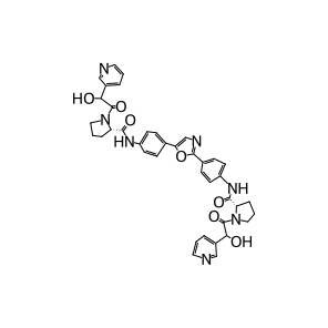 O=C(Nc1ccc(-c2cnc(-c3ccc(NC(=O)[C@@H]4CCCN4C(=O)C(O)c4cccnc4)cc3)o2)cc1)[C@@H]1CCCN1C(=O)C(O)c1cccnc1